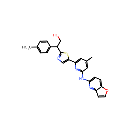 Cc1cc(Nc2ccc3occc3n2)nc(-c2cnc(C(CO)c3ccc(C(=O)O)cc3)s2)c1